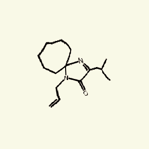 C=CCN1C(=O)C(C(C)C)=NC12CCCCCC2